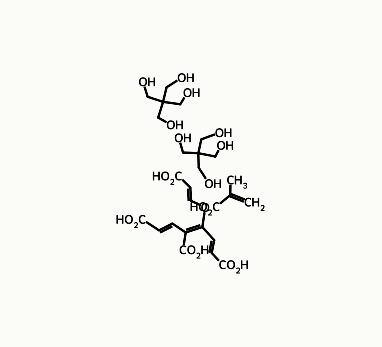 C=C(C)C(=O)O.O=C(O)C=COC(C=CC(=O)O)=C(C=CC(=O)O)C(=O)O.OCC(CO)(CO)CO.OCC(CO)(CO)CO